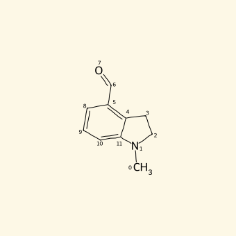 CN1CCc2c(C=O)cccc21